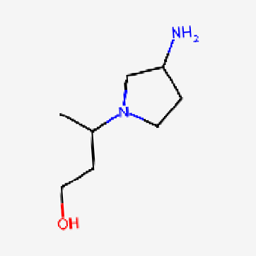 CC(CCO)N1CCC(N)C1